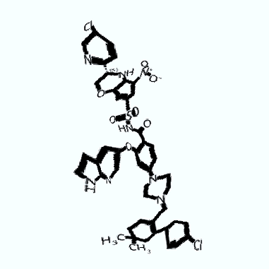 CC1(C)CCC(CN2CCN(c3ccc(C(=O)NS(=O)(=O)c4cc5c(c([N+](=O)[O-])c4)N[C@@H](c4ccc(Cl)cn4)CO5)c(Oc4cnc5[nH]ccc5c4)c3)CC2)=C(c2ccc(Cl)cc2)C1